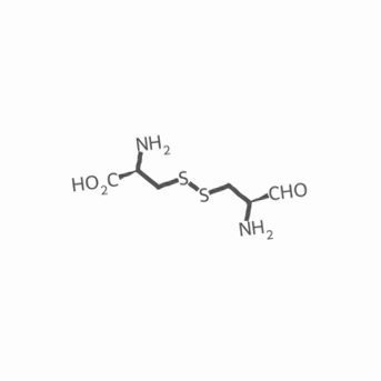 N[C@H](C=O)CSSC[C@H](N)C(=O)O